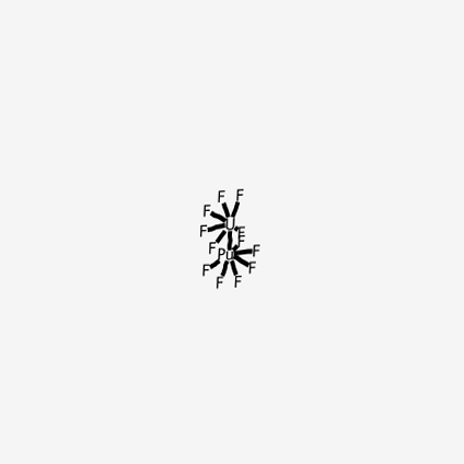 [F][U]([F])([F])([F])([F])([F])[Pu]([F])([F])([F])([F])([F])[F]